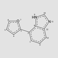 [c]1cc(-c2cc[c]o2)c2[nH]cnc2c1